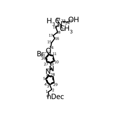 CCCCCCCCCCCCc1ccc(/N=N/c2ccc(OCCCCCC[N+](C)(C)CCO)cc2)cc1.[Br-]